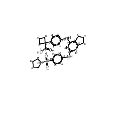 O=C(O)C1(c2ccc(Nc3nc(Nc4ccc(S(=O)(=O)N5CCCC5)cc4)nc4c3CCC4)cc2)CCC1